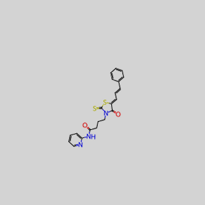 O=C(CCCN1C(=O)/C(=C/C=C/c2ccccc2)SC1=S)Nc1ccccn1